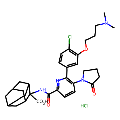 CN(C)CCCOc1cc(-c2nc(C(=O)NC3(C(=O)O)C4CC5CC(C4)CC3C5)ccc2N2CCCC2=O)ccc1Cl.Cl